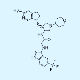 Cc1cc2c(cn1)C(S[C@H]1CN(C3CCOCC3)CC1NC(=O)CNc1n[nH]c3ccc(C(F)(F)F)cc13)CC2